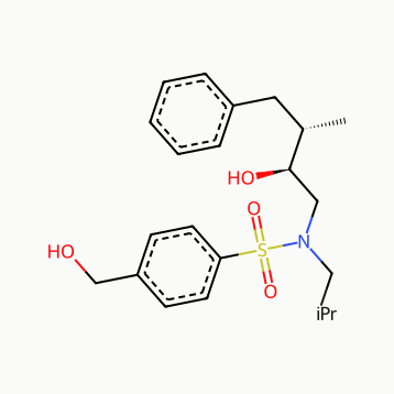 CC(C)CN(C[C@@H](O)[C@@H](C)Cc1ccccc1)S(=O)(=O)c1ccc(CO)cc1